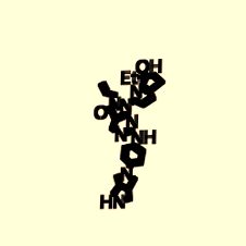 C=CCn1c(=O)c2cnc(Nc3ccc(N4CC5CNCC5C4)cc3)nc2n1-c1ccc2c(n1)[C@@](O)(CC)CC2